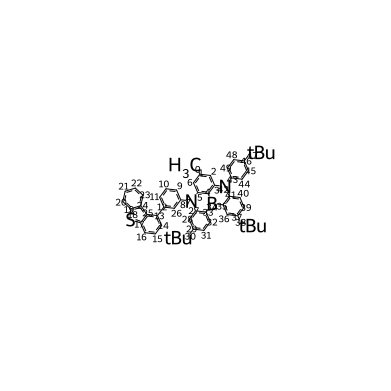 Cc1cc2c3c(c1)N(c1cccc(-c4cccc5sc6ccccc6c45)c1)c1cc(C(C)(C)C)ccc1B3c1cc(C(C)(C)C)ccc1N2c1ccc(C(C)(C)C)cc1